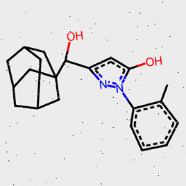 Cc1ccccc1-n1nc(C(O)C23CC4CC(CC(C4)C2)C3)cc1O